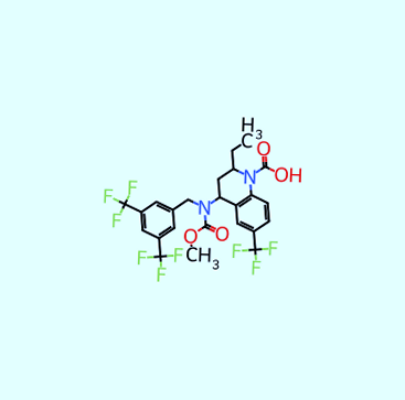 CCC1CC(N(Cc2cc(C(F)(F)F)cc(C(F)(F)F)c2)C(=O)OC)c2cc(C(F)(F)F)ccc2N1C(=O)O